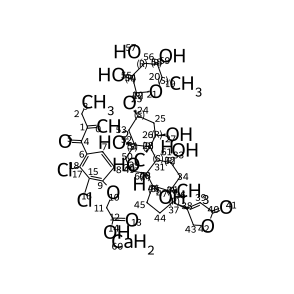 C=C(CC)C(=O)c1ccc(OCC(=O)O)c(Cl)c1Cl.C[C@@H]1O[C@@H](O[C@H]2C[C@@H](O)[C@]3(CO)[C@H]4[C@H](O)C[C@]5(C)[C@@H](C6=CC(=O)OC6)CC[C@]5(O)[C@@H]4CC[C@]3(O)C2)[C@H](O)[C@H](O)[C@H]1O.[CaH2]